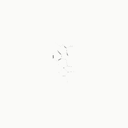 CC(n1cc2c3c(ncnc31)N(C)N=C2N)C1(O)COC(CO)C1O